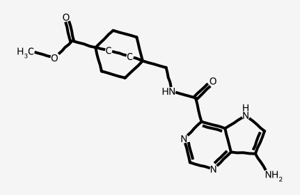 COC(=O)C12CCC(CNC(=O)c3ncnc4c(N)c[nH]c34)(CC1)CC2